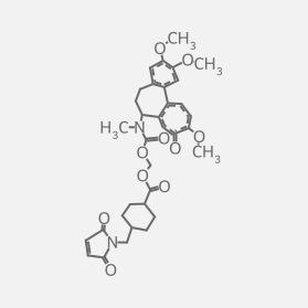 COc1cc2c(cc1OC)-c1ccc(OC)c(=O)cc1C(N(C)C(=O)OCOC(=O)C1CCC(CN3C(=O)C=CC3=O)CC1)CC2